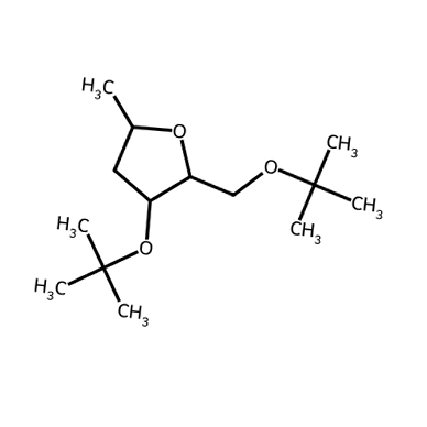 CC1CC(OC(C)(C)C)C(COC(C)(C)C)O1